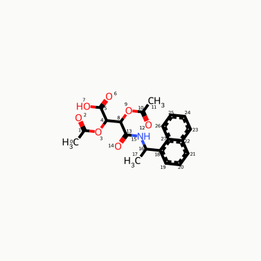 CC(=O)OC(C(=O)O)C(OC(C)=O)C(=O)NC(C)c1cccc2ccccc12